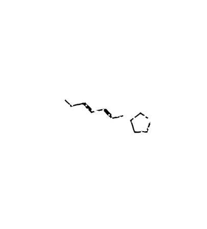 C/C=C/C=C/CO.C1CCOC1